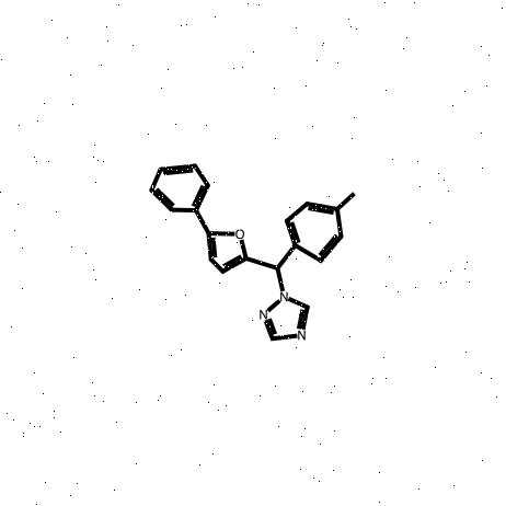 Cc1ccc(C(c2ccc(-c3ccccc3)o2)n2cncn2)cc1